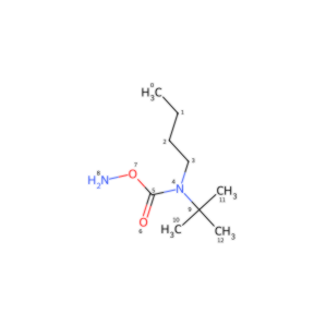 CCCCN(C(=O)ON)C(C)(C)C